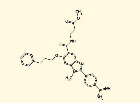 COC(=O)CCNC(=O)c1cc2nc(-c3ccc(C(=N)N)cc3)n(C)c2cc1OCCCc1ccccc1